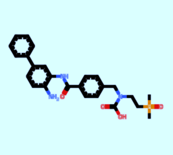 CP(C)(=O)CCN(Cc1ccc(C(=O)Nc2cc(-c3ccccc3)ccc2N)cc1)C(=O)O